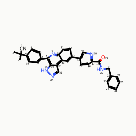 CC(C)(C#N)c1ccc(-c2nc3ccc(-c4ccc(C(=O)NCc5ccccc5)nc4)cc3c3cn[nH]c23)cc1